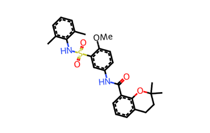 COc1ccc(NC(=O)c2cccc3c2OC(C)(C)CC3)cc1S(=O)(=O)Nc1c(C)cccc1C